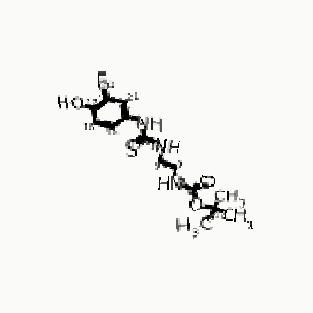 CC(C)(C)OC(=O)NCCNC(=S)Nc1ccc(O)c(F)c1